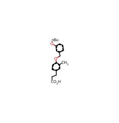 CCCCOc1cccc(COc2ccc(CCC(=O)O)cc2C)c1